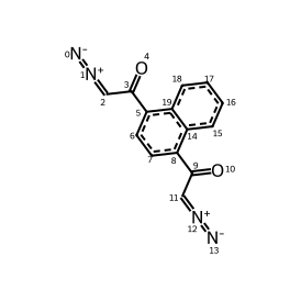 [N-]=[N+]=CC(=O)c1ccc(C(=O)C=[N+]=[N-])c2ccccc12